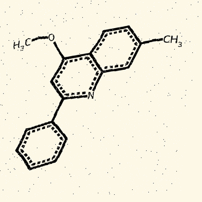 COc1cc(-c2ccccc2)nc2cc(C)ccc12